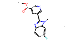 COC(=O)c1cncc(-c2nc3ccc(F)cc3n2C)c1